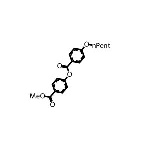 CCCCCOc1ccc(C(=O)Oc2ccc(C(=O)OC)cc2)cc1